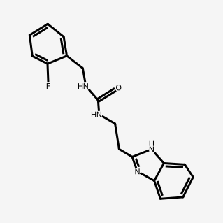 O=C(NCCc1nc2ccccc2[nH]1)NCc1ccccc1F